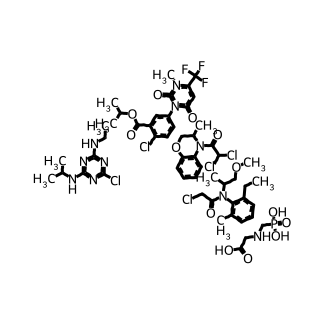 CC(C)OC(=O)c1cc(-n2c(=O)cc(C(F)(F)F)n(C)c2=O)ccc1Cl.CC1COc2ccccc2N1C(=O)C(Cl)Cl.CCNc1nc(Cl)nc(NC(C)C)n1.CCc1cccc(C)c1N(C(=O)CCl)C(C)COC.O=C(O)CNCP(=O)(O)O